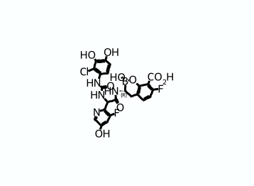 O=C(Nc1ccc(O)c(O)c1Cl)NC(C(=O)N[C@H]1Cc2ccc(F)c(C(=O)O)c2OB1O)c1ncc(O)cc1F